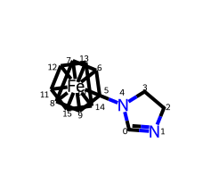 C1=NCCN1[C]12[CH]3[CH]4[CH]5[CH]1[Fe]45321678[CH]2[CH]1[CH]6[CH]7[CH]28